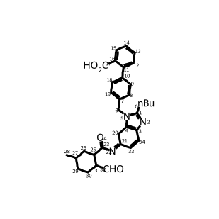 CCCCc1nc2c(n1Cc1ccc(-c3ccccc3C(=O)O)cc1)CC(=NC(=O)C1CC(C)CCC1C=O)C=C2